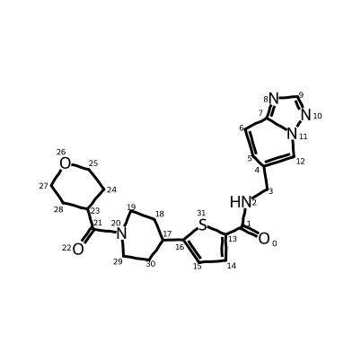 O=C(NCc1ccc2ncnn2c1)c1ccc(C2CCN(C(=O)C3CCOCC3)CC2)s1